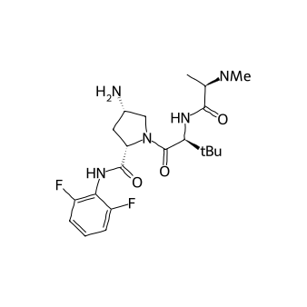 CN[C@H](C)C(=O)N[C@H](C(=O)N1C[C@@H](N)C[C@H]1C(=O)Nc1c(F)cccc1F)C(C)(C)C